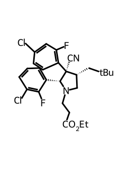 CCOC(=O)CCN1C[C@@H](CC(C)(C)C)[C@](C#N)(c2ccc(Cl)cc2F)[C@H]1c1cccc(Cl)c1F